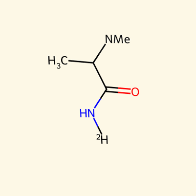 [2H]NC(=O)C(C)NC